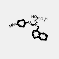 CCCN(COc1ccc([N+]#N)cc1)Cc1cccc2ccccc12.O=S(=O)(O)O